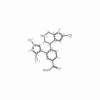 CCn1cc(-c2cc(C(=O)NC)ccc2C2CNCc3sc(C#N)cc32)c(C(F)(F)F)n1